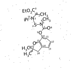 CCOC(=O)[C@H](C)N(SN(C)C(=O)Oc1cccc2c1OC(C)(C)C2)C(C)C